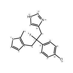 Cc1sccc1CC(F)(Cc1c[nH]nn1)c1ccc(Cl)cc1